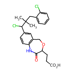 CC(C)(Cc1ccccc1Cl)C(Cl)c1ccc2c(c1)COC(CCC(=O)O)C(=O)N2